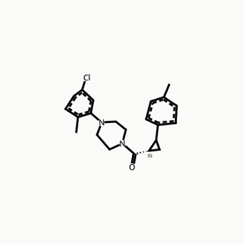 Cc1ccc(C2C[C@@H]2C(=O)N2CCN(c3cc(Cl)ccc3C)CC2)cc1